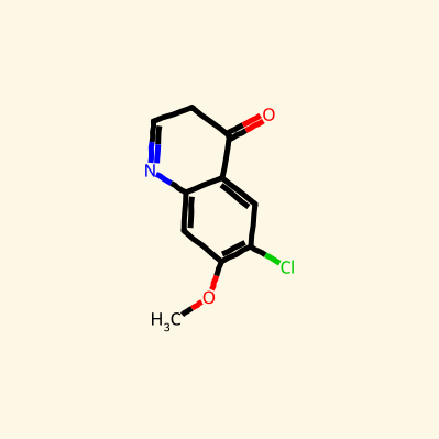 COc1cc2c(cc1Cl)C(=O)CC=N2